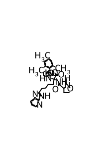 Cc1cc(C)c(S(=O)(=O)NC(CCCCc2nc3cccnc3[nH]2)(NC(=O)C2CCON2)C(=O)O)c(C)c1